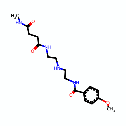 CNC(=O)CCC(=O)NCCNCCNC(=O)c1ccc(OC)cc1